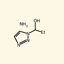 CCC(O)n1ccnn1.N